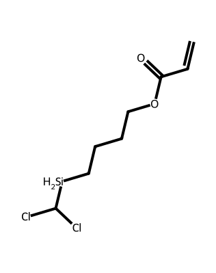 C=CC(=O)OCCCC[SiH2]C(Cl)Cl